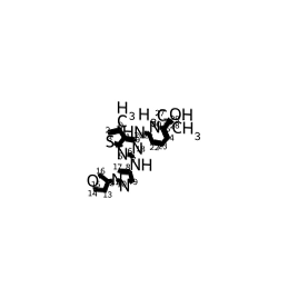 Cc1csc2nc(Nc3cnn(C4CCOC4)c3)nc(Nc3cccc(C(C)(C)O)n3)c12